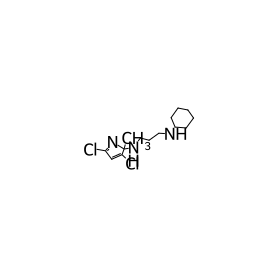 CC1(NCCCNC2CCCCC2)N=C(Cl)C=C1Cl